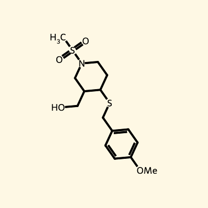 COc1ccc(CSC2CCN(S(C)(=O)=O)CC2CO)cc1